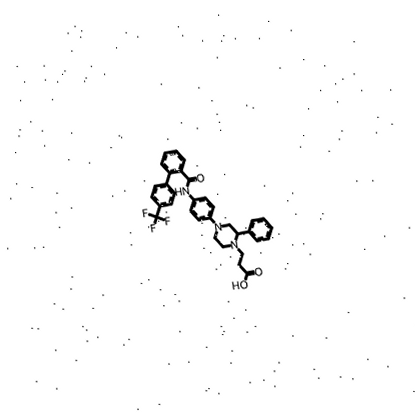 O=C(O)CCN1CCN(c2ccc(NC(=O)c3ccccc3-c3ccc(C(F)(F)F)cc3)cc2)CC1c1ccccc1